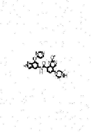 COc1ncc2c(N3C[C@@H](C)N[C@@H](C)C3)ccc(C(=O)Nc3cc(Oc4ccncn4)c4nn(C)cc4c3)c2n1